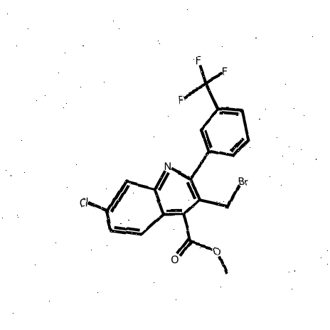 COC(=O)c1c(CBr)c(-c2cccc(C(F)(F)F)c2)nc2cc(Cl)ccc12